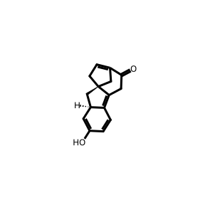 O=C1CC2=C3C=CC(O)=C[C@H]3C[C@]23CC=C1C3